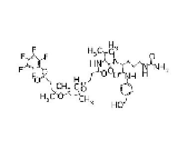 CC(C)C(NC(=O)CCCOC(C)(C)CCOC(C)(C)CCC(=O)Oc1c(F)c(F)c(F)c(F)c1F)C(=O)N[C@@H](CCCNC(N)=O)C(=O)Nc1ccc(CO)cc1